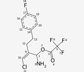 NC(OC(=O)C(F)(F)F)/C(=C\Cl)CCc1ccc(F)cc1